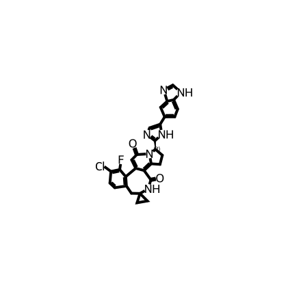 O=C1NC2(CC2)Cc2ccc(Cl)c(F)c2-c2cc(=O)n3c(c21)CC[C@@H]3c1ncc(-c2ccc3[nH]cnc3c2)[nH]1